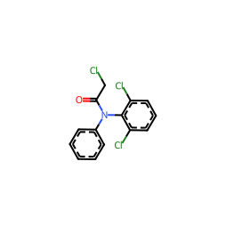 O=C(CCl)N(c1ccccc1)c1c(Cl)cccc1Cl